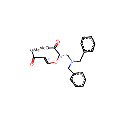 COC(=O)/C=C/O[C@@H](CN(Cc1ccccc1)Cc1ccccc1)C(=O)OC